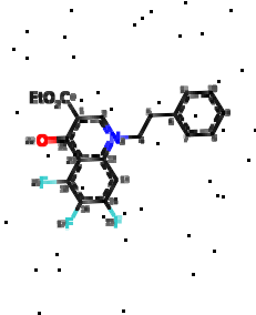 CCOC(=O)c1cn(CCc2ccccc2)c2cc(F)c(F)c(F)c2c1=O